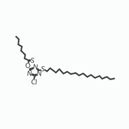 CCCCCCCCCCCCCCCCCCSc1nc(Cl)nc(OC(=S)CCCCCCC)n1